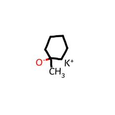 CC1([O-])CCCCC1.[K+]